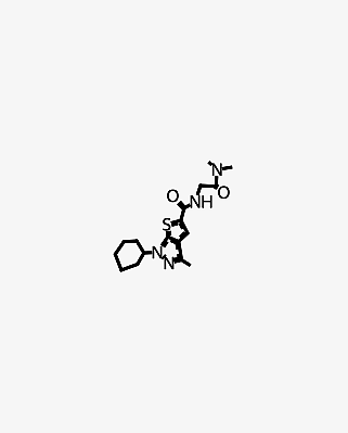 Cc1nn(C2CCCCC2)c2sc(C(=O)NCC(=O)N(C)C)cc12